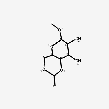 COC1OC2COC(C)OC2C(O)C1O